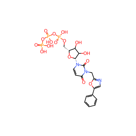 O=c1ccn([C@@H]2O[C@H](COP(=O)(O)OP(=O)(O)OP(=O)(O)O)C(O)C2O)c(=O)n1Cc1ncc(-c2ccccc2)o1